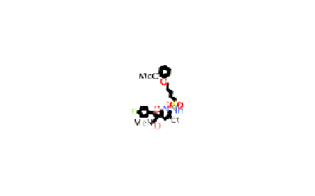 CCc1cc2c(C(=O)NC)c(-c3ccc(F)cc3)oc2nc1NS(=O)(=O)CCCCCOc1ccccc1OC